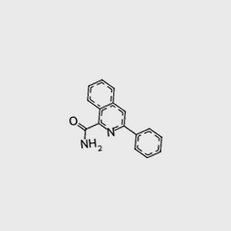 NC(=O)c1nc(-c2ccccc2)cc2ccccc12